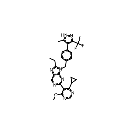 CCc1nc2cnc(-c3c(OC)ncnc3C3CC3)nc2n1Cc1ccc(-c2c(C(F)(F)F)n[nH]c2C)cc1